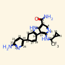 NC(=O)c1cnc(NC(C2CC2)C(F)(F)F)c2c3c([nH]c12)CC(c1ccc(N)nc1)C=C3